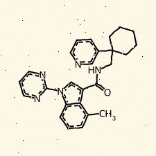 Cc1cccc2c1c(C(=O)NCC1(c3cccnc3)CCCCC1)cn2-c1ncccn1